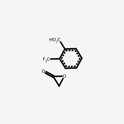 O=C(O)c1ccccc1C(F)(F)F.O=C1CO1